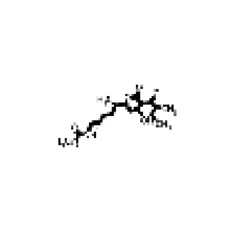 CCC(C)C(=O)c1c(O)cc(C(C)CC/C=C/NC(=O)OC)oc1=O